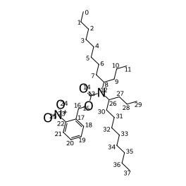 CCCCCCCCC(CCC)N(C(=O)OCc1ccccc1[N+](=O)[O-])C(CCC)CCCCCCCC